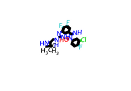 CC1(C)CNC1CNc1nc2c(F)c(F)cc(C(=N)N(O)c3ccc(F)c(Cl)c3)c2[nH]1